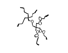 C=CCCC(CCC=C)(CCC=C)COCC(COOCC=C)(COOCC=C)COOCC=C